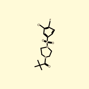 CC(C)(C)C(=O)N1CCN(S(=O)(=O)c2ccc(F)c(Cl)c2)CC1